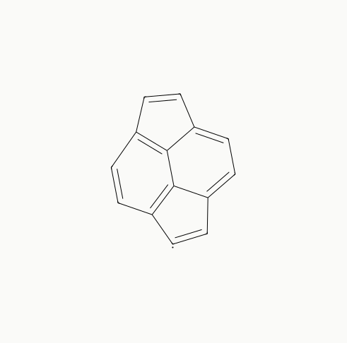 [C]1=Cc2ccc3c4c(ccc1c24)C=C3